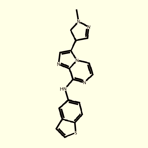 CN1CC(c2cnc3c(Nc4ccc5sccc5c4)nccn23)C=N1